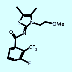 COCCn1c(C)c(C)sc1=NC(=O)c1cccc(F)c1C(F)(F)F